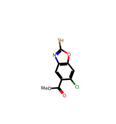 COC(=O)c1cc2nc(S)oc2cc1Cl